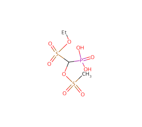 CCOS(=O)(=O)C(OS(C)(=O)=O)P(=O)(O)O